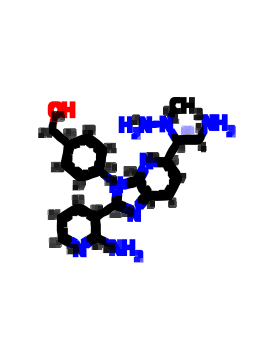 CN(N)/C(=C\N)c1ccc2nc(-c3cccnc3N)n(-c3ccc(CO)cc3)c2n1